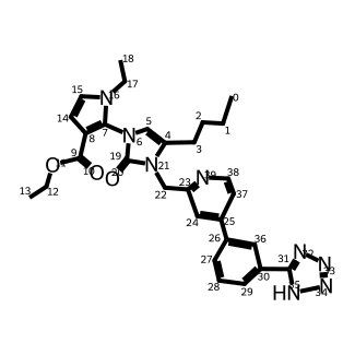 CCCCc1cn(-c2c(C(=O)OCC)ccn2CC)c(=O)n1Cc1cc(-c2cccc(-c3nnn[nH]3)c2)ccn1